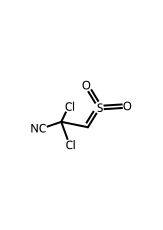 N#CC(Cl)(Cl)C=S(=O)=O